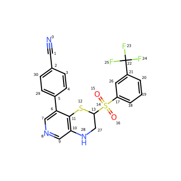 N#Cc1ccc(-c2cncc3c2SC(S(=O)(=O)c2cccc(C(F)(F)F)c2)CN3)cc1